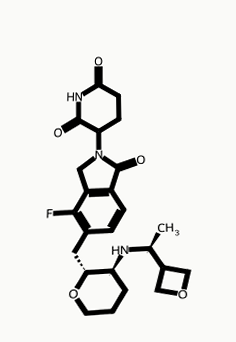 C[C@H](N[C@H]1CCCO[C@@H]1Cc1ccc2c(c1F)CN(C1CCC(=O)NC1=O)C2=O)C1COC1